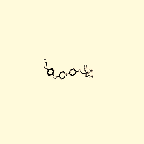 C[C@@](O)(CO)COc1ccc(N2CCC(Oc3ccc(OCF)cc3)CC2)cc1